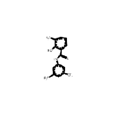 Cc1cccc(C(=O)Nc2cc(C(F)(F)F)cc(C(F)(F)F)c2)c1O